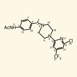 CC(=O)Nc1ccc(SN2CCN(c3cc(C(F)(F)F)cc(Cl)n3)CC2)cc1